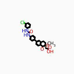 CO[C@@]1(CC(=O)O)CCc2cc(-c3ccc(NC(=O)Nc4cccc(Cl)c4)cc3)ccc2C1=O